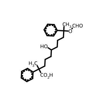 CC(CCCC(O)CCCC(C)(C(=O)O)c1ccccc1)(OC=O)c1ccccc1